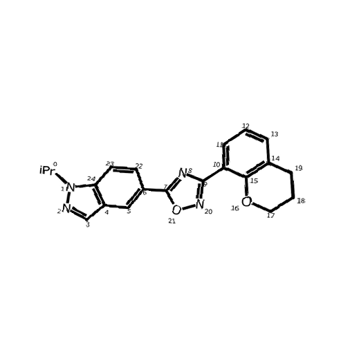 CC(C)n1ncc2cc(-c3nc(-c4cccc5c4OCCC5)no3)ccc21